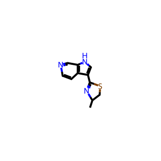 CC1CSC(c2c[nH]c3cnccc23)=N1